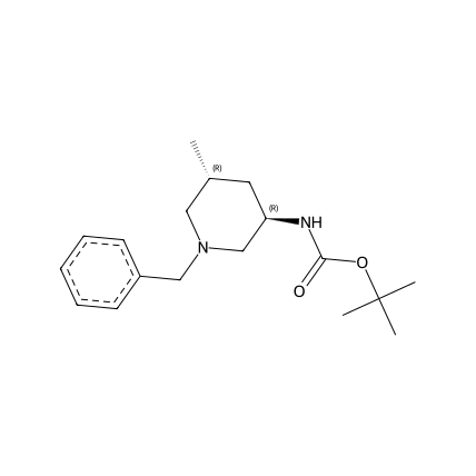 C[C@@H]1C[C@@H](NC(=O)OC(C)(C)C)CN(Cc2ccccc2)C1